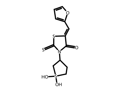 O=C1/C(=C/c2ccco2)SC(=S)N1C1CCS(O)(O)C1